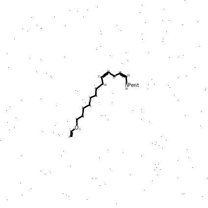 C=COCCCCCCCC/C=C\C/C=C\CCCCC